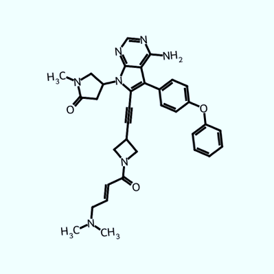 CN(C)C/C=C/C(=O)N1CC(C#Cc2c(-c3ccc(Oc4ccccc4)cc3)c3c(N)ncnc3n2C2CC(=O)N(C)C2)C1